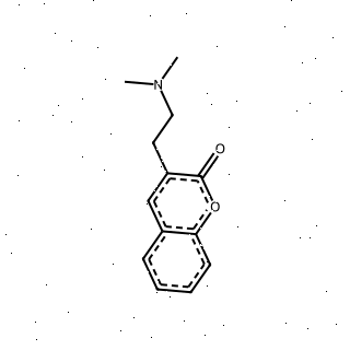 CN(C)CCc1cc2ccccc2oc1=O